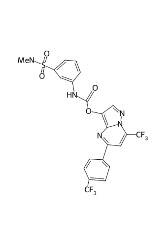 CNS(=O)(=O)c1cccc(NC(=O)Oc2cnn3c(C(F)(F)F)cc(-c4ccc(C(F)(F)F)cc4)nc23)c1